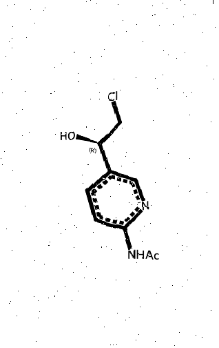 CC(=O)Nc1ccc([C@@H](O)CCl)cn1